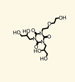 O=c1n(CCOCCO)c(=O)n(CC(O)CO)c(=O)n1CC(O)CO